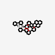 c1ccc(-c2ccccc2N(c2ccc3c(c2)-c2ccccc2-c2ccccc2C32c3ccccc3-c3c2cc2ccc4cccc5ccc3c2c45)c2cccc3c2oc2ccccc23)cc1